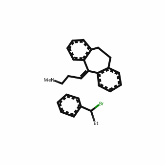 CCC(Br)c1ccccc1.CNCCC=C1c2ccccc2CCc2ccccc21